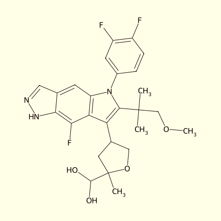 COCC(C)(C)c1c(C2COC(C)(C(O)O)C2)c2c(F)c3[nH]ncc3cc2n1-c1ccc(F)c(F)c1